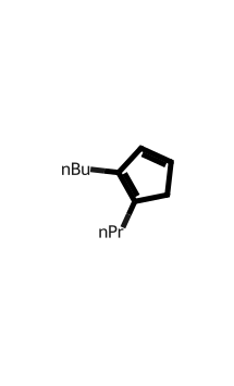 CCCCC1=C(CCC)CC=C1